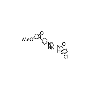 COc1ccc(=O)n(-c2ccc(-n3cc(CNC(=O)c4ccc(Cl)s4)nn3)cc2)c1